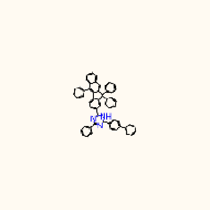 C1=CCC(C2(c3ccccc3)c3cc(C4=NC(c5ccccc5)=NC(c5ccc(-c6ccccc6)cc5)N4)ccc3-c3c2cc2ccccc2c3-c2ccccc2)C=C1